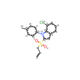 C=CCS(=O)(=O)c1cc2cccc(Cl)c2n1-c1ccc(C)cc1